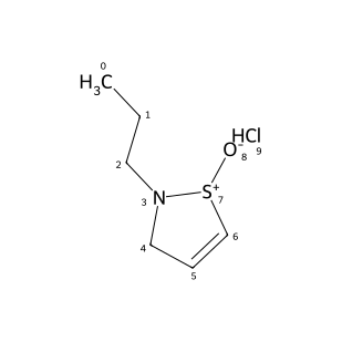 CCCN1CC=C[S+]1[O-].Cl